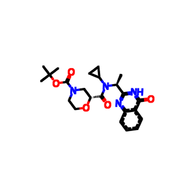 C[C@@H](c1nc2ccccc2c(=O)[nH]1)N(C(=O)[C@H]1CN(C(=O)OC(C)(C)C)CCO1)C1CC1